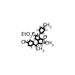 C=C(c1ccc(Cl)cc1)c1cn(C)c(=O)c2c1cc(C(=O)OCC)n2-c1ccc(C)cc1